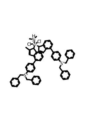 CC1=Cc2c(-c3ccc([S+](Cc4ccccc4)Cc4ccccc4)cc3)cccc2[CH]1[Zr]([Cl])([Cl])([CH]1C(C)=Cc2c(-c3ccc([S+](Cc4ccccc4)Cc4ccccc4)cc3)cccc21)[SiH](C)C